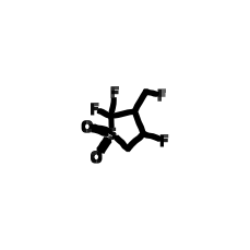 O=S1(=O)CC(F)C(CF)C1(F)F